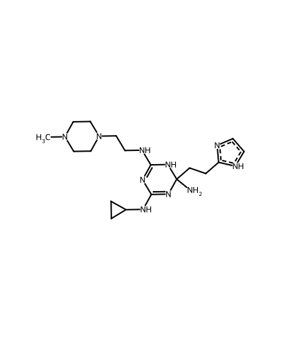 CN1CCN(CCNC2=NC(NC3CC3)=NC(N)(CCc3ncc[nH]3)N2)CC1